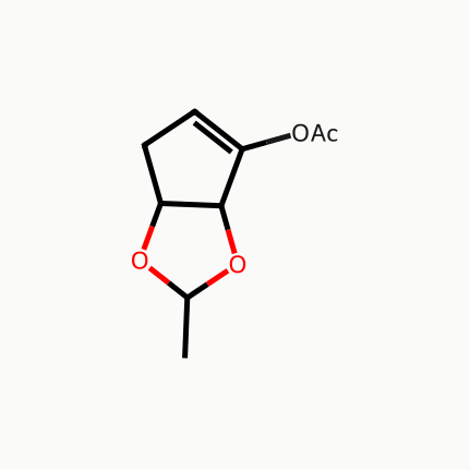 CC(=O)OC1=CCC2OC(C)OC12